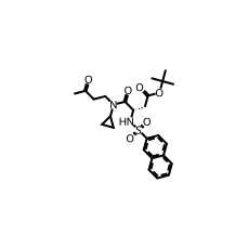 CC(=O)CCN(C(=O)[C@H](CC(=O)OC(C)(C)C)NS(=O)(=O)c1ccc2ccccc2c1)C1CC1